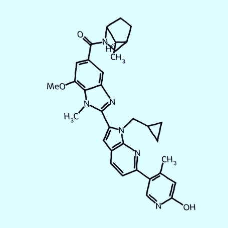 COc1cc(C(=O)N2CC3CCC2[C@@H]3C)cc2nc(-c3cc4ccc(-c5cnc(O)cc5C)nc4n3CC3CC3)n(C)c12